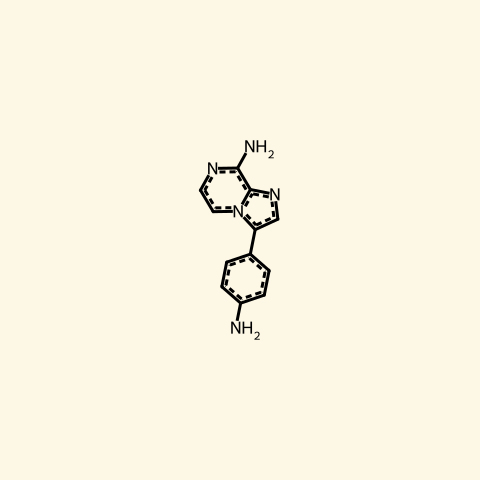 Nc1ccc(-c2cnc3c(N)nccn23)cc1